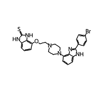 S=c1[nH]c2cccc(OCCN3CCN(c4cccc5[nH]c(-c6ccc(Br)cc6)nc45)CC3)c2[nH]1